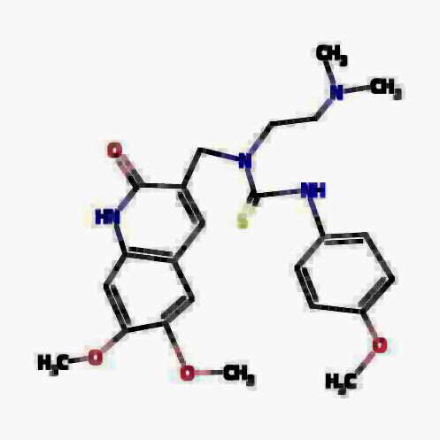 COc1ccc(NC(=S)N(CCN(C)C)Cc2cc3cc(OC)c(OC)cc3[nH]c2=O)cc1